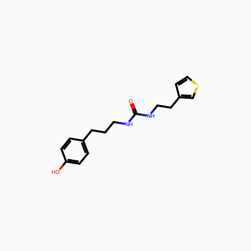 O=C(NCCCc1ccc(O)cc1)NCCc1ccsc1